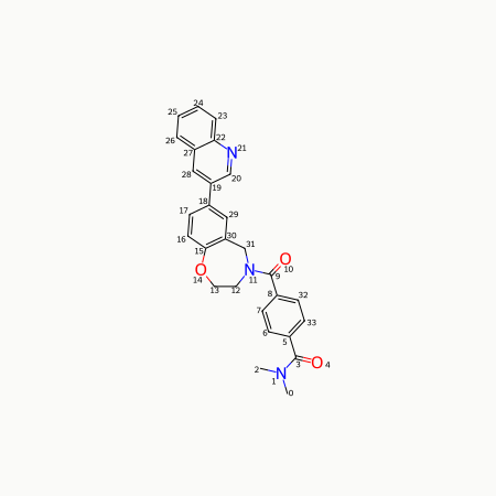 CN(C)C(=O)c1ccc(C(=O)N2CCOc3ccc(-c4cnc5ccccc5c4)cc3C2)cc1